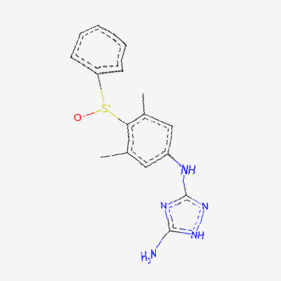 Cc1cc(Nc2n[nH]c(N)n2)cc(C)c1[S+]([O-])c1ccccc1